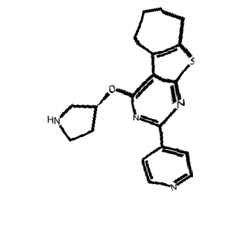 c1cc(-c2nc(O[C@H]3CCNC3)c3c4c(sc3n2)CCCC4)ccn1